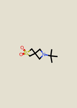 CC(C)(C)N1CC2(C1)CS(=O)(=O)C2